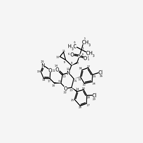 CC(C)(C)S(=O)(=O)C[C@H](C1CC1)N1C(=O)[C@H](Cc2ccno2)O[C@H](c2cccc(Cl)c2)[C@H]1c1ccc(Cl)cc1